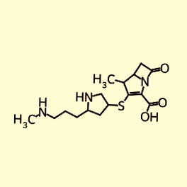 CNCCCC1CC(SC2=C(C(=O)O)N3C(=O)CC3C2C)CN1